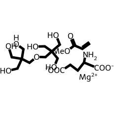 C=CC(=O)OC.NC(CCC(=O)[O-])C(=O)[O-].OCC(CO)(CO)COCC(CO)(CO)CO.[Mg+2]